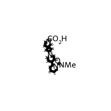 CNC(=O)N1CCCCC1C1CCN(C2CC3(CCN(C(=O)O)C3)C2)CC1